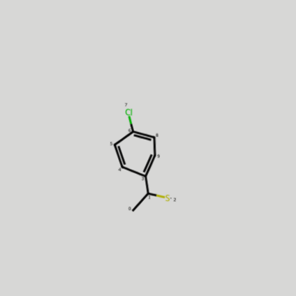 CC([S])c1ccc(Cl)cc1